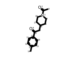 CC(=O)N1CCC(CC(=O)c2ccc(C)cc2)CC1